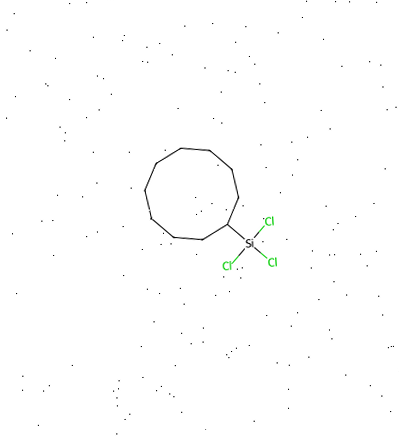 Cl[Si](Cl)(Cl)C1CCCCCCCCC1